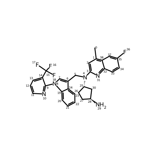 Cc1cc(N(Cc2cn(-c3ncccc3C(F)(F)F)c3ccccc23)[C@H]2CC[C@H](N)C2)nc2ccc(F)cc12